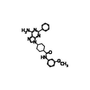 COc1cccc(NC(=O)C2CCC(n3cnc4c(N)nc(-c5ccccc5)nc43)CC2)c1